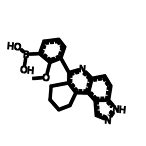 COc1c(B(O)O)cccc1-c1nc2ccc3[nH]ncc3c2c2c1CCCC2